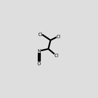 O=NC(Cl)C(Cl)Cl